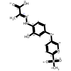 C/C(=N\Nc1ccc(Oc2ccc(S(C)(=O)=O)nc2)cc1O)C(=O)O